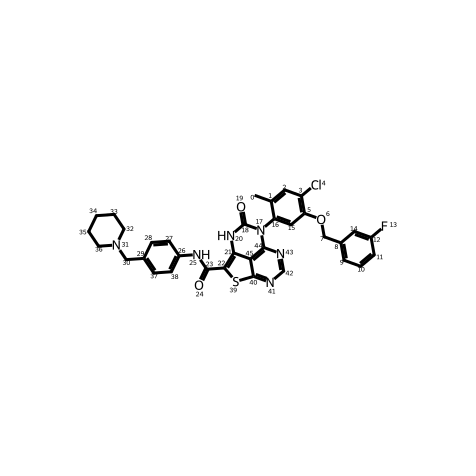 Cc1cc(Cl)c(OCc2cccc(F)c2)cc1N1C(=O)Nc2c(C(=O)Nc3ccc(CN4CCCCC4)cc3)sc3ncnc1c23